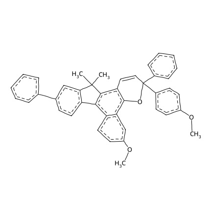 COc1ccc(C2(c3ccccc3)C=Cc3c4c(c5ccc(OC)cc5c3O2)-c2ccc(-c3ccccc3)cc2C4(C)C)cc1